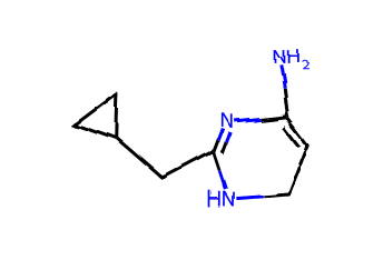 NC1=CCNC(CC2CC2)=N1